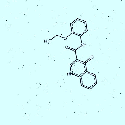 CCOc1ccccc1NC(=O)c1c[nH]c2ccccc2c1=O